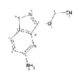 N#CCOc1nsc2ccc(N)cc12